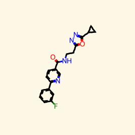 O=C(NCCc1nnc(C2CC2)o1)c1ccc(-c2cccc(F)c2)nc1